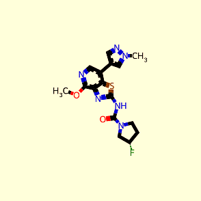 COc1ncc(-c2cnn(C)c2)c2sc(NC(=O)N3CC[C@H](F)C3)nc12